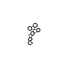 c1ccc2c(c1)-c1ccccc1C21c2ccccc2-c2cc3c(cc21)Cc1cc2cccnc2cc1-3